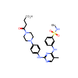 Cc1cnc(Nc2ccc(N3CCN(C(=O)CCC(=O)O)CC3)cc2)nc1Nc1cccc(S(=O)(=O)NC(C)(C)C)c1